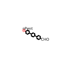 CCCCCOc1ccc(-c2ccc(-c3ccc(C=O)cc3)cc2)cc1